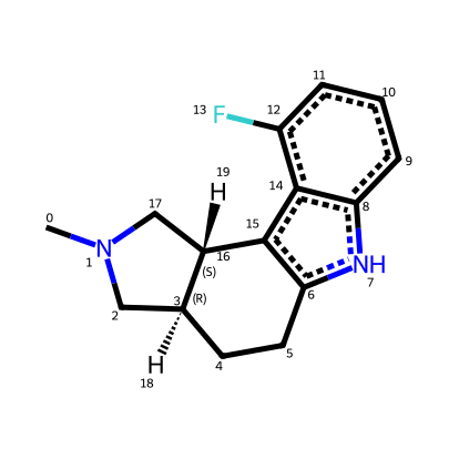 CN1C[C@@H]2CCc3[nH]c4cccc(F)c4c3[C@H]2C1